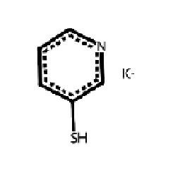 Sc1cccnc1.[K]